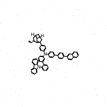 C=C[C@H]1C[C@H]2C[C@H]3CC(c4ccc(N(c5ccc(-c6ccc(-c7ccc8ccccc8c7)cc6)cc5)c5cccc(-c6ccccc6-n6c7ccccc7c7ccccc76)c5)cc4)(CC23)C1